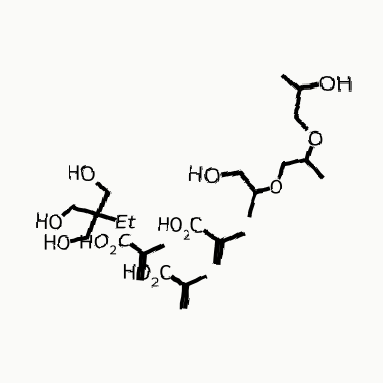 C=C(C)C(=O)O.C=C(C)C(=O)O.C=C(C)C(=O)O.CC(O)COC(C)COC(C)CO.CCC(CO)(CO)CO